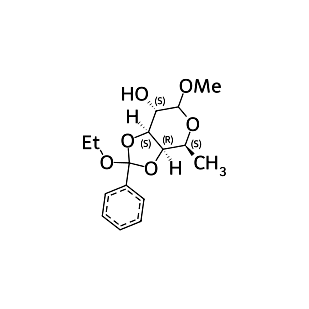 CCOC1(c2ccccc2)O[C@@H]2[C@H](O1)[C@H](C)OC(OC)[C@H]2O